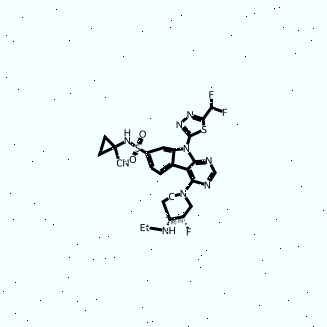 CCN[C@@H]1CCN(c2ncnc3c2c2ccc(S(=O)(=O)NC4(C#N)CC4)cc2n3-c2nnc(C(F)F)s2)C[C@@H]1F